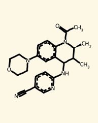 CC(=O)N1c2ccc(N3CCOCC3)cc2C(Nc2ccc(C#N)cn2)C(C)[C@@H]1C